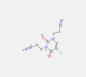 N#CCCn1cc(F)c(=O)n(CCC#N)c1=O